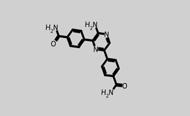 NC(=O)c1ccc(-c2cnc(N)c(-c3ccc(C(N)=O)cc3)n2)cc1